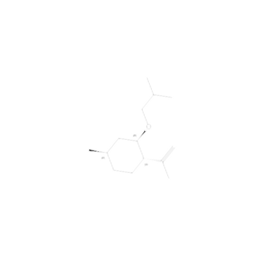 C=C(C)[C@@H]1CC[C@@H](C)C[C@H]1OCC(C)C